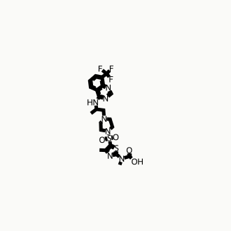 Cc1nc(N(C)C(=O)O)sc1S(=O)(=O)N1CCN(CC(C)Nc2ncnc3c(C(F)(F)F)cccc23)CC1